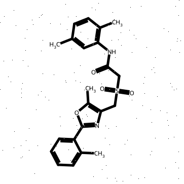 Cc1ccc(C)c(NC(=O)CS(=O)(=O)Cc2nc(-c3ccccc3C)oc2C)c1